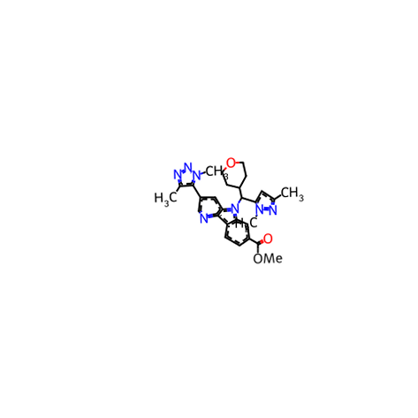 COC(=O)c1ccc2c3ncc(-c4c(C)nnn4C)cc3n(C(c3cc(C)nn3C)C3CCOCC3)c2c1